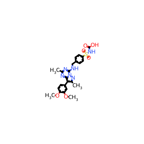 COc1ccc(-c2c(C)nn3c(NCc4ccc(S(=O)(=O)NC(=O)O)cc4)nc(C)nc23)cc1OC